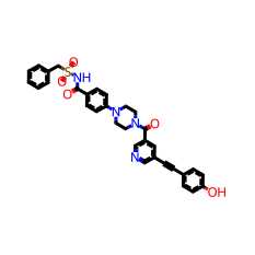 O=C(NS(=O)(=O)Cc1ccccc1)c1ccc(N2CCN(C(=O)c3cncc(C#Cc4ccc(O)cc4)c3)CC2)cc1